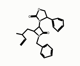 C=CC(C)CC1C(N2C(=O)OCC2c2ccccc2)C(=O)N1Cc1ccccc1